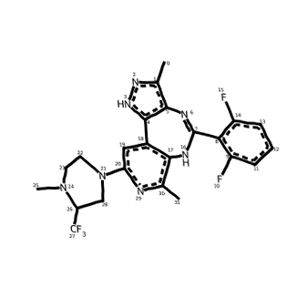 Cc1n[nH]c2c1N=C(c1c(F)cccc1F)Nc1c-2cc(N2CCN(C)C(C(F)(F)F)C2)nc1C